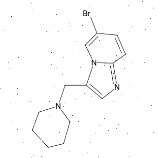 Brc1ccc2ncc(CN3CCCCC3)n2c1